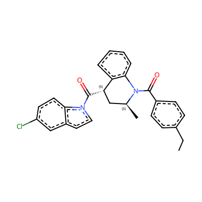 CCc1ccc(C(=O)N2c3ccccc3[C@@H](C(=O)n3ccc4cc(Cl)ccc43)C[C@@H]2C)cc1